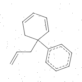 C=CCC1(c2ccccc2)C=CC=CC1